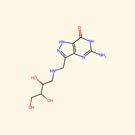 Nc1nc2c(CNCC(O)C(O)CO)n[nH]c2c(=O)[nH]1